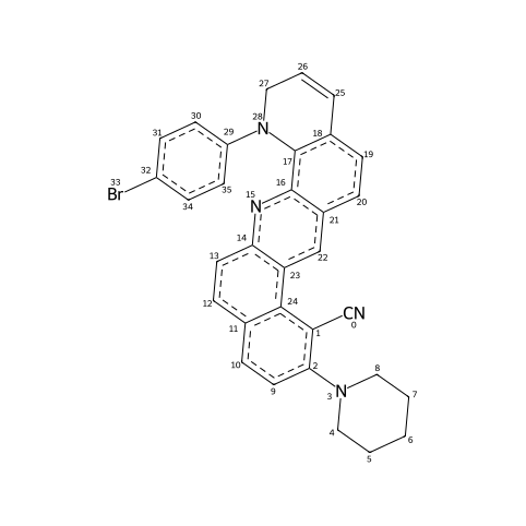 N#Cc1c(N2CCCCC2)ccc2ccc3nc4c5c(ccc4cc3c12)C=CCN5c1ccc(Br)cc1